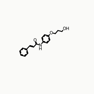 O=C(C=Cc1ccccc1)Nc1ccc(OCCCO)cc1